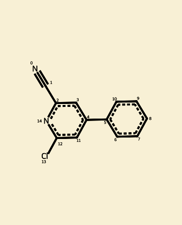 N#Cc1cc(-c2ccccc2)cc(Cl)n1